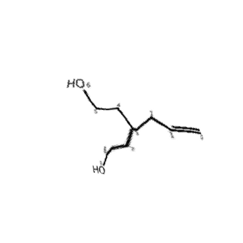 C=CCC(CCO)CCO